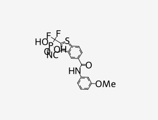 COc1cccc(NC(=O)c2ccc3sc(C(F)(F)P(=O)(O)O)c(C#N)c3c2)c1